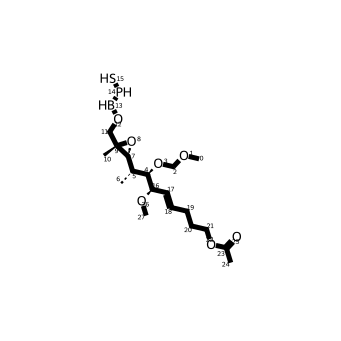 COCO[C@@H]([C@H](C)[C@H]1O[C@@]1(C)COBPS)[C@H](/C=C/CCCOC(C)=O)OC